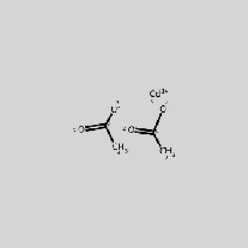 CC(=O)[O-].CC(=O)[O-].[Cd+2]